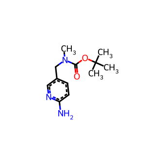 CN(Cc1ccc(N)nc1)C(=O)OC(C)(C)C